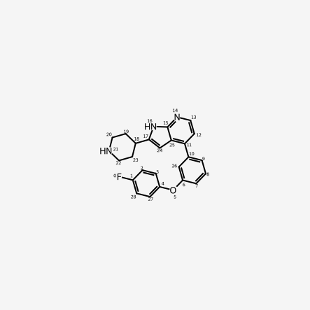 Fc1ccc(Oc2cccc(-c3ccnc4[nH]c(C5CCNCC5)cc34)c2)cc1